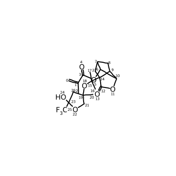 C=C(C)C(=O)OC1C2CC3C1OC(=O)C3(C(C)(C)OC1(C)COC(O)(C(F)(F)F)C1)C2